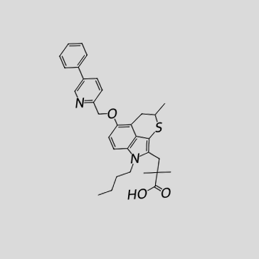 CCCCn1c(CC(C)(C)C(=O)O)c2c3c(c(OCc4ccc(-c5ccccc5)cn4)ccc31)CC(C)S2